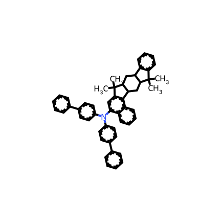 CC1(C)c2ccccc2C2CC3C(CC21)c1c(cc(N(c2ccc(-c4ccccc4)cc2)c2ccc(-c4ccccc4)cc2)c2ccccc12)C3(C)C